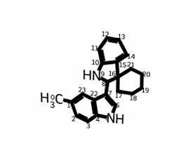 Cc1ccc2[nH]cc(C3Nc4ccccc4C34CCCCC4)c2c1